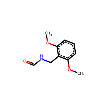 COc1cccc(OC)c1CNC=O